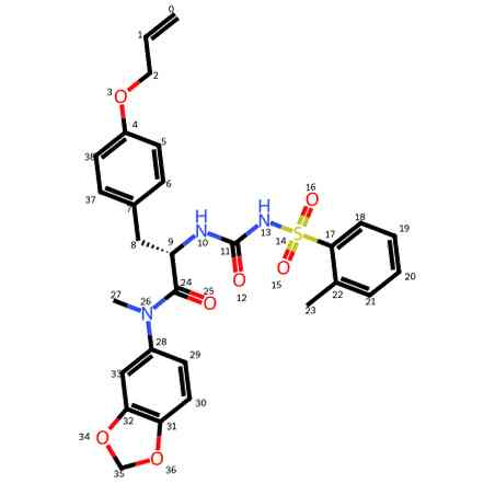 C=CCOc1ccc(C[C@H](NC(=O)NS(=O)(=O)c2ccccc2C)C(=O)N(C)c2ccc3c(c2)OCO3)cc1